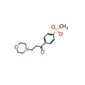 CS(=O)(=O)c1ccc(C(=O)CCN2CCOCC2)cc1